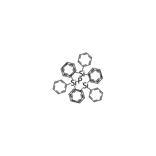 c1ccc([Si](c2ccccc2)(c2ccccc2)P([Si](c2ccccc2)(c2ccccc2)c2ccccc2)[Si](c2ccccc2)(c2ccccc2)c2ccccc2)cc1